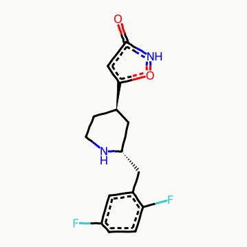 O=c1cc([C@@H]2CCN[C@@H](Cc3cc(F)ccc3F)C2)o[nH]1